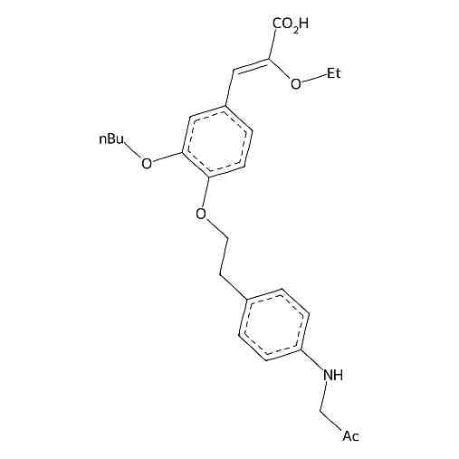 CCCCOc1cc(/C=C(\OCC)C(=O)O)ccc1OCCc1ccc(NCC(C)=O)cc1